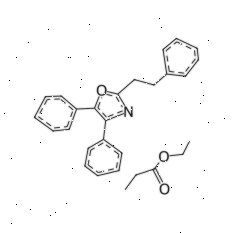 CCOC(=O)CC.c1ccc(CCc2nc(-c3ccccc3)c(-c3ccccc3)o2)cc1